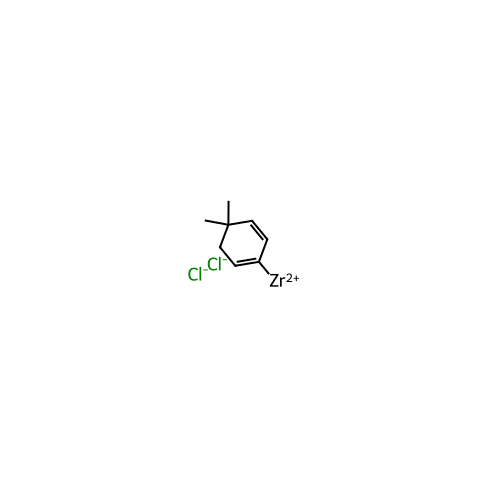 CC1(C)C=C[C]([Zr+2])=CC1.[Cl-].[Cl-]